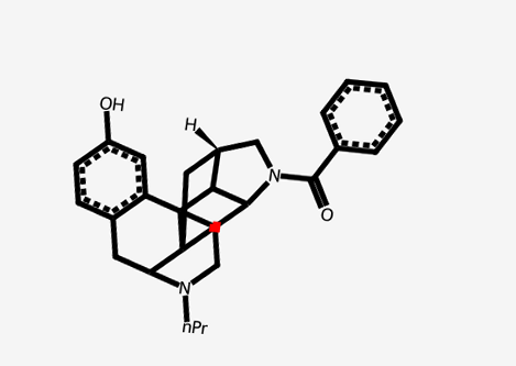 CCCN1CCC23c4cc(O)ccc4CC1C21CCC2C3[C@@H](CN2C(=O)c2ccccc2)C1